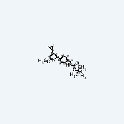 COc1cc(C2CC2)cc(-c2ccc(CNC(=O)OC(C)(C)C)cc2)n1